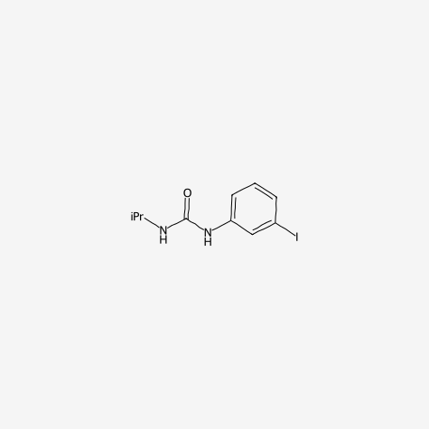 CC(C)NC(=O)Nc1cccc(I)c1